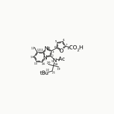 CC(=O)N(c1c(-c2ccc(C(=O)O)o2)nc2c(C)cccn12)C(C)(C)CC(C)(C)C